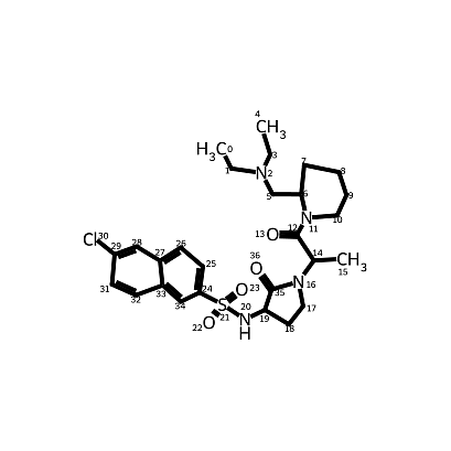 CCN(CC)CC1CCCCN1C(=O)C(C)N1CCC(NS(=O)(=O)c2ccc3cc(Cl)ccc3c2)C1=O